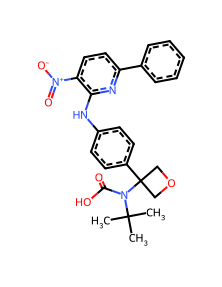 CC(C)(C)N(C(=O)O)C1(c2ccc(Nc3nc(-c4ccccc4)ccc3[N+](=O)[O-])cc2)COC1